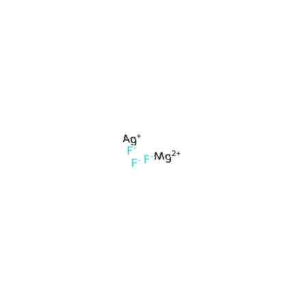 [Ag+].[F-].[F-].[F-].[Mg+2]